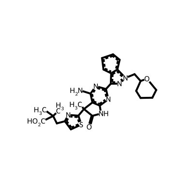 CC(C)(Cc1csc(C2(C)C(=O)Nc3nc(-c4nn(CC5CCCCO5)c5ccccc45)nc(N)c32)n1)C(=O)O